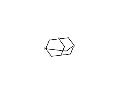 C1[C]2CN3CN1CN(C2)C3